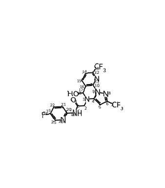 O=C(CN1c2cc(C(F)(F)F)nn2-c2nc(C(F)(F)F)ccc2C1O)Nc1ccc(F)cn1